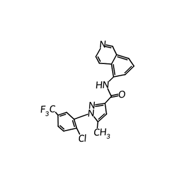 Cc1cc(C(=O)Nc2cccc3cnccc23)nn1-c1cc(C(F)(F)F)ccc1Cl